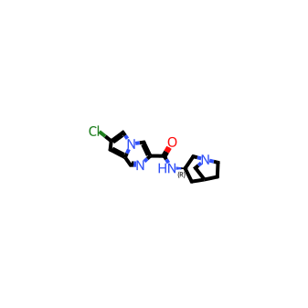 O=C(N[C@@H]1CC2CCN(C2)C1)c1cn2cc(Cl)cc2cn1